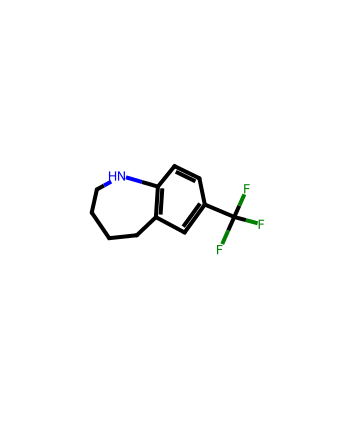 FC(F)(F)c1ccc2c(c1)CCCCN2